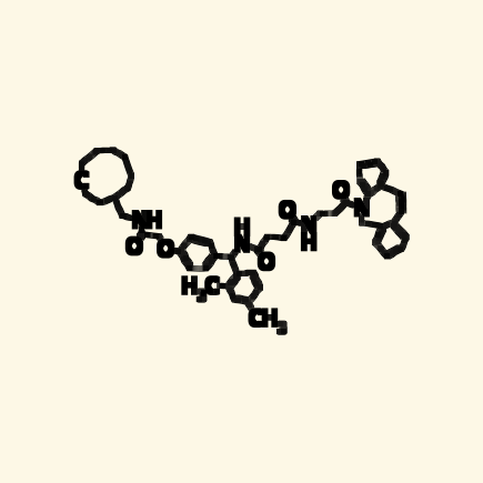 Cc1ccc(C(NC(=O)CCC(=O)NCCC(=O)N2Cc3ccccc3C#Cc3ccccc32)c2ccc(OCC(=O)NCC3CCCCCCCCC3)cc2)c(C)c1